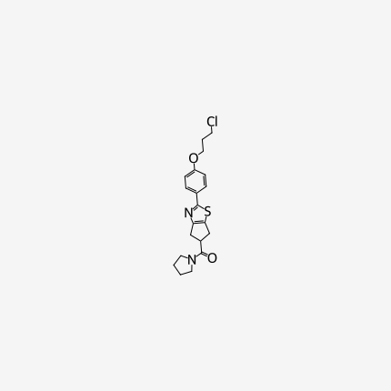 O=C(C1Cc2nc(-c3ccc(OCCCCl)cc3)sc2C1)N1CCCC1